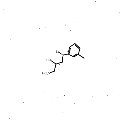 CCN(CC(O)CS(=O)(=O)O)c1cccc(C)c1